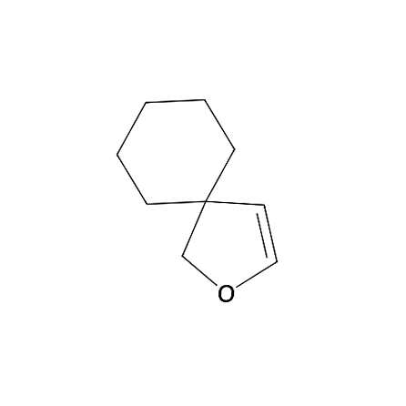 C1=CC2(CCCCC2)CO1